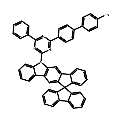 N#Cc1ccc(-c2ccc(-c3nc(-c4ccccc4)nc(-n4c5ccccc5c5cc6c(cc54)-c4ccccc4C64c5ccccc5-c5ccccc54)n3)cc2)cc1